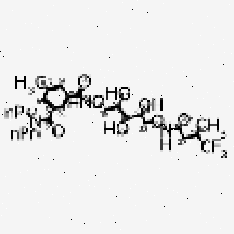 CCCN(CCC)C(=O)c1cc(C)cc(C(=O)NOC[C@H](O)[C@H](O)C(O)CONC(=O)CC(C)C(F)(F)F)c1